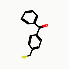 O=C(c1ccccc1)c1ccc(CS)cc1